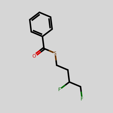 O=C(SCCC(F)CF)c1ccccc1